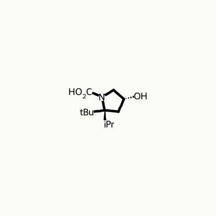 CC(C)[C@]1(C(C)(C)C)C[C@@H](O)CN1C(=O)O